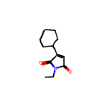 CCN1C(=O)C=C(C2CCCCC2)C1=O